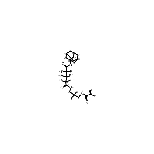 C=C(C)C(=O)OCC(C)(C)COC(=O)C(F)(F)C(F)(F)C(F)(F)C(=O)OC12CC3CC(CC(C3)C1)C2